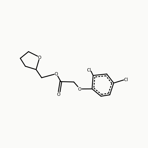 O=C(COc1ccc(Cl)cc1Cl)OCC1CCCO1